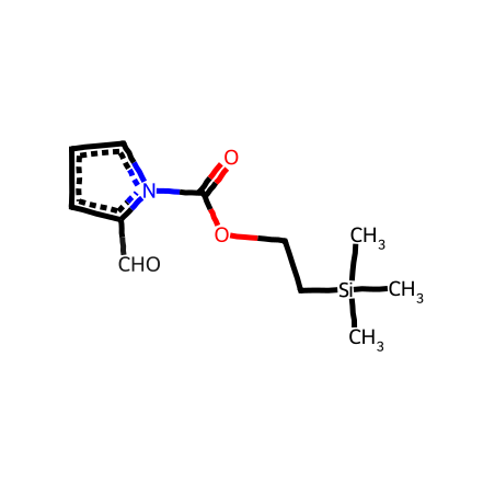 C[Si](C)(C)CCOC(=O)n1cccc1C=O